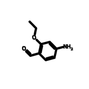 CCOc1cc(N)ccc1C=O